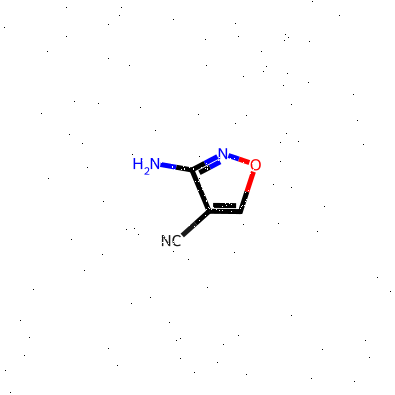 N#Cc1conc1N